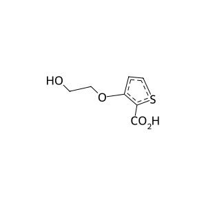 O=C(O)c1sccc1OCCO